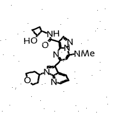 CNc1cc(-c2cn(C3CCOCC3)c3ncccc23)nc2c(C(=O)NC3CCC3O)cnn12